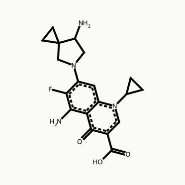 Nc1c(F)c(N2CC(N)C3(CC3)C2)cc2c1c(=O)c(C(=O)O)cn2C1CC1